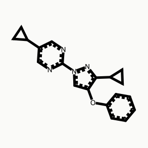 c1ccc(Oc2cn(-c3ncc(C4CC4)cn3)nc2C2CC2)cc1